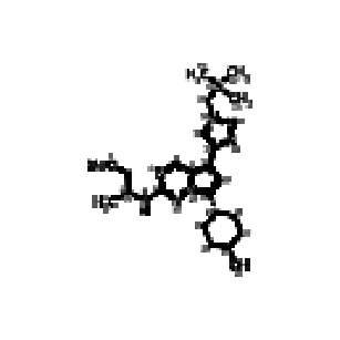 COC[C@H](C)Nc1ncc2c(-c3cn(C[Si](C)(C)C)nn3)cc([C@H]3CC[C@H](O)CC3)n2n1